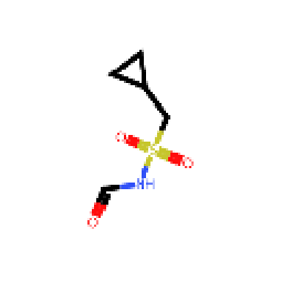 O=CNS(=O)(=O)CC1CC1